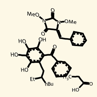 CCC(=O)O.CCCCC(CC)Cc1c(O)c(O)c(O)c(O)c1C(=O)c1ccccc1.CON1C(=O)C(=Cc2ccccc2)N(OC)C1=O